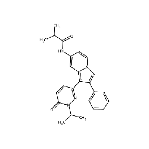 CC(C)C(=O)Nc1ccn2nc(-c3ccccc3)c(-c3ccc(=O)n(C(C)C)n3)c2c1